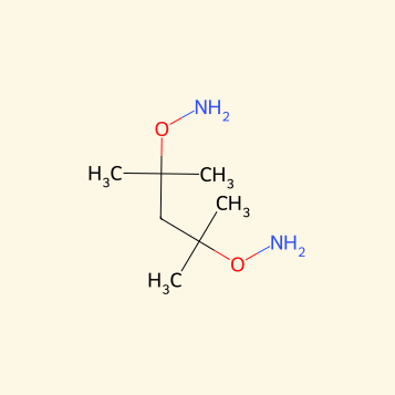 CC(C)(CC(C)(C)ON)ON